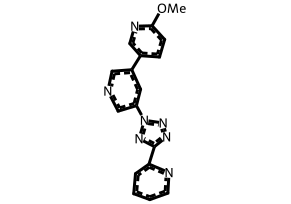 COc1ccc(-c2cncc(-n3nnc(-c4ccccn4)n3)c2)cn1